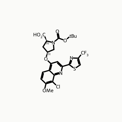 COc1ccc2c(O[C@H]3C[C@@H](C(=O)O)N(C(=O)OC(C)(C)C)C3)cc(-c3nc(C(F)(F)F)cs3)nc2c1Cl